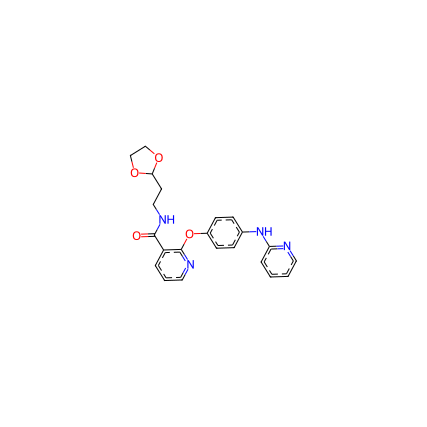 O=C(NCCC1OCCO1)c1cccnc1Oc1ccc(Nc2ccccn2)cc1